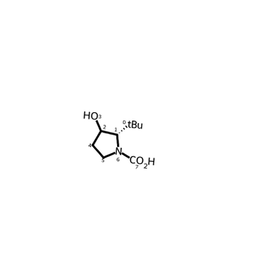 CC(C)(C)[C@H]1C(O)CCN1C(=O)O